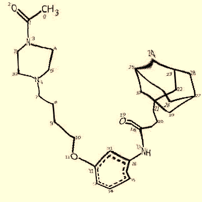 CC(=O)N1CCN(CCCCOc2cccc(NC(=O)CC34CC5CC(CC(C5)C3)C4)c2)CC1